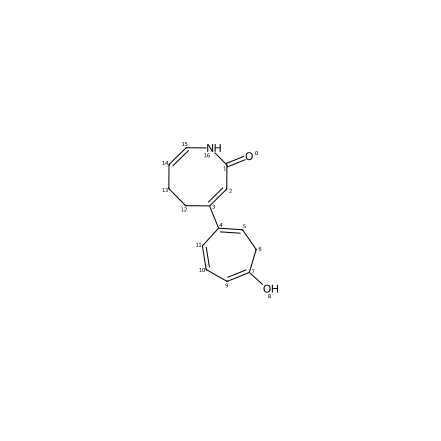 O=C1/C=C(/C2=CCC(O)=CC=C2)CC/C=C\N1